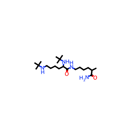 CC(CCCCNC(=O)C(CCCCNC(C)(C)C)NC(C)(C)C)C(N)=O